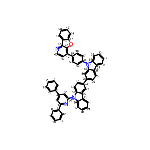 c1ccc(-c2cc(-c3ccccc3)nc(-n3c4ccccc4c4cc(-c5ccc6c7ccccc7n(-c7ccc(-c8ccnc9c8oc8ccccc89)cc7)c6c5)ccc43)c2)cc1